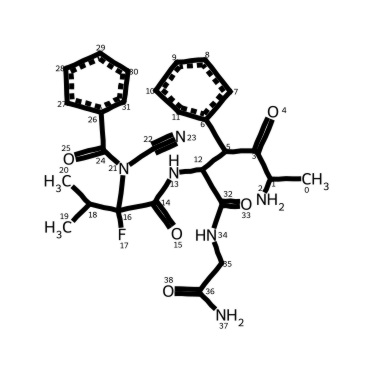 CC(N)C(=O)C(c1ccccc1)C(NC(=O)C(F)(C(C)C)N(C#N)C(=O)c1ccccc1)C(=O)NCC(N)=O